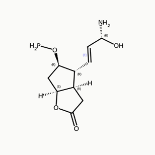 N[C@H](O)/C=C/[C@@H]1[C@H]2CC(=O)O[C@H]2C[C@H]1OP